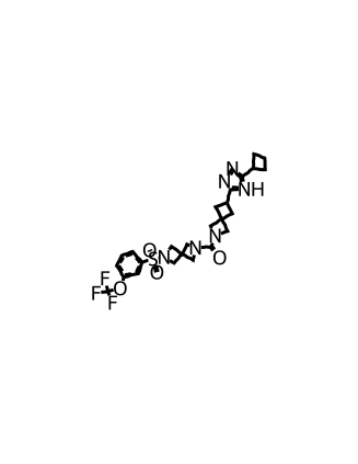 O=C(N1CC2(CC(c3nnc(C4CCC4)[nH]3)C2)C1)N1CC2(C1)CN(S(=O)(=O)c1cccc(OC(F)(F)F)c1)C2